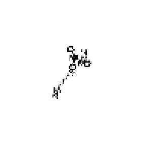 [N-]=[N+]=NCCCCCCOc1ccc(-c2nn(-c3ccccc3)cc2-c2nc3ccccc3[nH]2)cc1